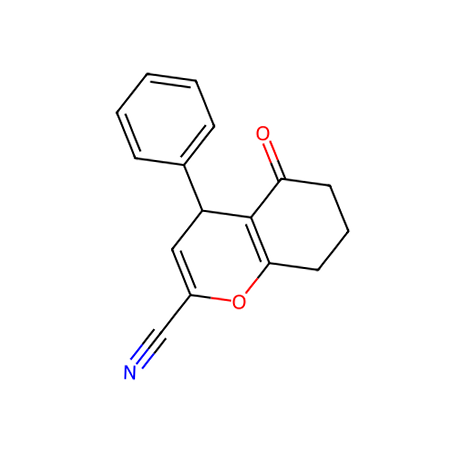 N#CC1=CC(c2ccccc2)C2=C(CCCC2=O)O1